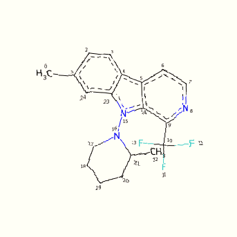 Cc1ccc2c3ccnc(C(F)(F)F)c3n(N3CCCCC3C)c2c1